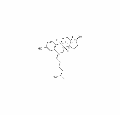 CC(O)CCCC[C@@H]1C[C@@H]2[C@H](CC[C@]3(C)[C@@H](O)CC[C@@H]23)c2ccc(O)cc21